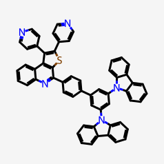 c1ccc2c(c1)nc(-c1ccc(-c3cc(-n4c5ccccc5c5ccccc54)cc(-n4c5ccccc5c5ccccc54)c3)cc1)c1sc(-c3ccncc3)c(-c3ccncc3)c12